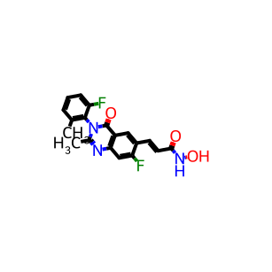 Cc1cccc(F)c1-n1c(C)nc2cc(F)c(/C=C/C(=O)NO)cc2c1=O